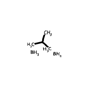 C[C](C)C.[BiH3].[BiH3]